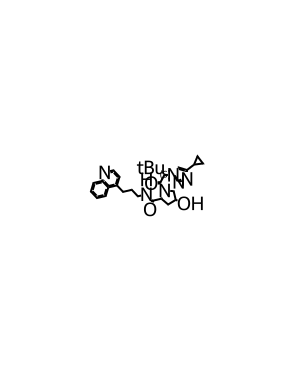 CC(C)(C)[C@@H](C(=O)N1CC(O)CC1C(=O)NCCCc1ccnc2ccccc12)n1cc(C2CC2)nn1